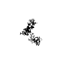 CC(C)(c1ccc(/C=C/c2n[nH]c3cc([C@@H]4C[C@@]45C(=O)Nc4ccccc45)ccc23)cc1)N1CCOCC1.O=C(O)C(F)(F)F